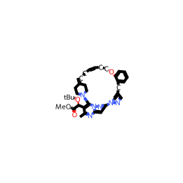 COC(=O)[C@@H](OC(C)(C)C)c1c(C)nc2cc3nn2c1N1CCC(C)(CCC=CCCOc2ccccc2Cc2cnn-3c2)CC1